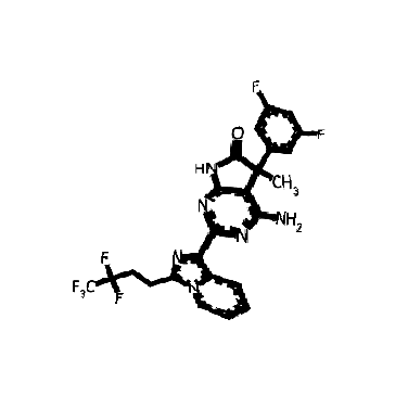 CC1(c2cc(F)cc(F)c2)C(=O)Nc2nc(-c3nc(CCC(F)(F)C(F)(F)F)n4ccccc34)nc(N)c21